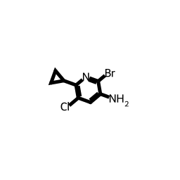 Nc1cc(Cl)c(C2CC2)nc1Br